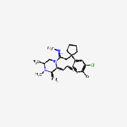 C=C/C=C1/C(=C)N(C)C(C)CN1/C(CC1(c2ccc(CC)c(Cl)c2)CCCC1)=N\C